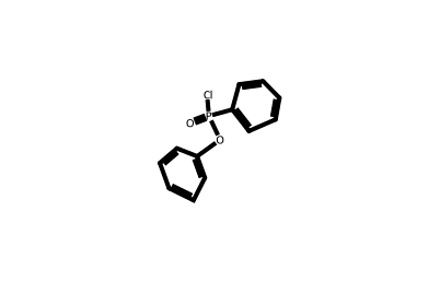 O=P(Cl)(Oc1ccccc1)c1ccccc1